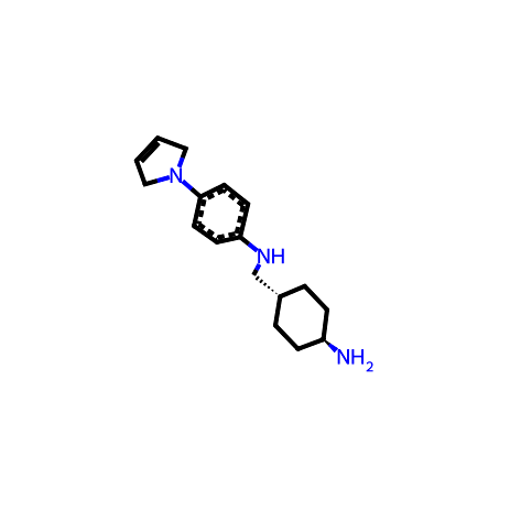 N[C@H]1CC[C@H](CNc2ccc(N3CC=CC3)cc2)CC1